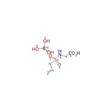 C=CCS(=O)(=O)NCC(=O)O.OB(O)O